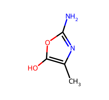 Cc1nc(N)oc1O